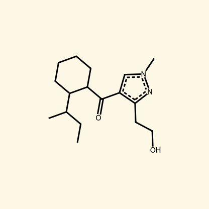 CCC(C)C1CCCCC1C(=O)c1cn(C)nc1CCO